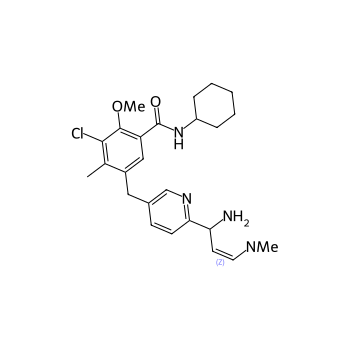 CN/C=C\C(N)c1ccc(Cc2cc(C(=O)NC3CCCCC3)c(OC)c(Cl)c2C)cn1